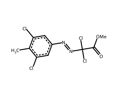 COC(=O)C(Cl)(Cl)N=Nc1cc(Cl)c(C)c(Cl)c1